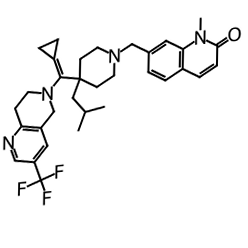 CC(C)CC1(C(=C2CC2)N2CCc3ncc(C(F)(F)F)cc3C2)CCN(Cc2ccc3ccc(=O)n(C)c3c2)CC1